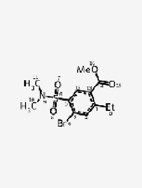 CCc1cc(Br)c(S(=O)(=O)N(C)C)cc1C(=O)OC